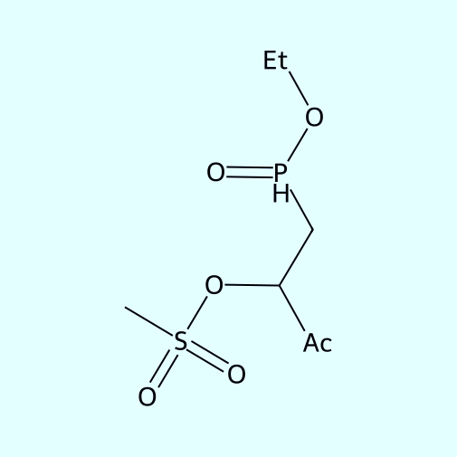 CCO[PH](=O)CC(OS(C)(=O)=O)C(C)=O